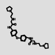 O=C(CNCCN1CCCC1)Nc1ccc(Oc2ccc(NC(=O)CNCCN3CCCC3)cc2)cc1